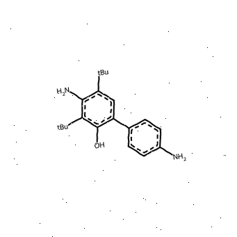 CC(C)(C)c1cc(-c2ccc(N)cc2)c(O)c(C(C)(C)C)c1N